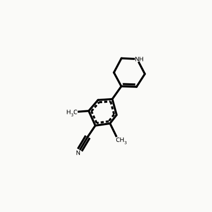 Cc1cc(C2=CCNCC2)cc(C)c1C#N